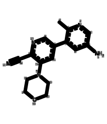 Cc1ncc(N)cc1-c1cnc(C#N)c(N2CCOCC2)c1